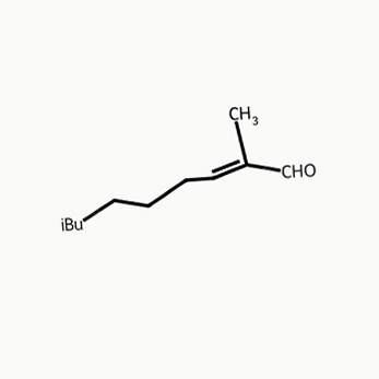 CCC(C)CCCC=C(C)C=O